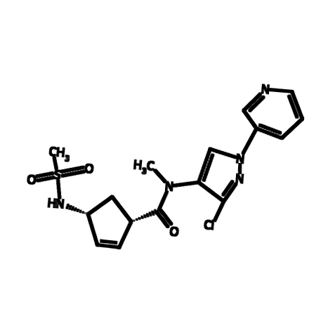 CN(C(=O)[C@@H]1C=C[C@H](NS(C)(=O)=O)C1)c1cn(-c2cccnc2)nc1Cl